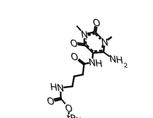 Cn1c(N)c(NC(=O)CCCNC(=O)OC(C)(C)C)c(=O)n(C)c1=O